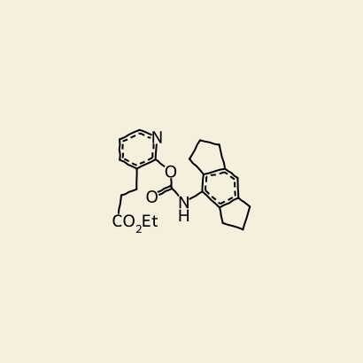 CCOC(=O)CCc1cccnc1OC(=O)Nc1c2c(cc3c1CCC3)CCC2